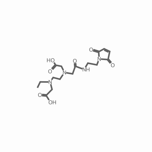 CCN(CCN(CC(=O)O)CC(=O)NCCN1C(=O)C=CC1=O)CC(=O)O